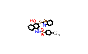 O=S(=O)(Nc1cc(Sc2nc3ccccc3s2)c(O)c2ccccc12)c1ccc(C(F)(F)F)cc1